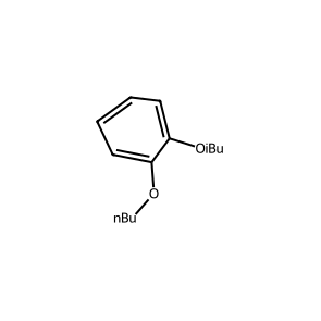 CCCCOc1ccccc1OCC(C)C